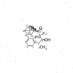 C[C@H](c1ccccc1)[C@H](O)C(F)(F)C(=O)C1CCC2CC1C2(C)C